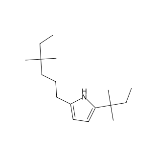 CCC(C)(C)CCCc1ccc(C(C)(C)CC)[nH]1